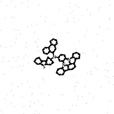 c1ccc2c(c1)cc(N(c1ccc3sc4ccccc4c3c1)c1ccc3c(c1)n1c4ccccc4c4ccc5c6ccccc6n3c5c41)c1ccccc12